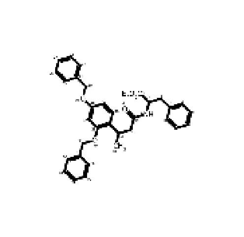 CCOC(=O)C(Cc1ccccc1)NC(=O)CC(C)c1ccc(OCc2ccccc2)cc1OCc1ccccc1